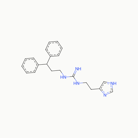 N=C(NCCc1c[nH]cn1)NCCC(c1ccccc1)c1ccccc1